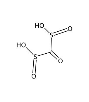 O=C(S(=O)O)S(=O)O